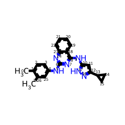 Cc1ccc(Nc2nc(Nc3cc(C4CC4)n[nH]3)c3ccccc3n2)cc1C